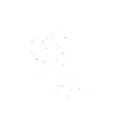 O=C1CCc2c(OCC3CN(C(c4ccccc4)(c4ccccc4)c4ccccc4)CCO3)cccc21